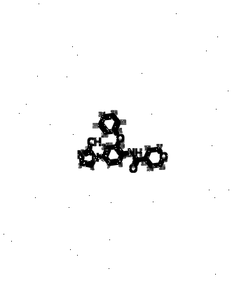 Cc1nccn1-c1ccc(NC(=O)C2CCOCC2)c(Oc2ccccc2)c1